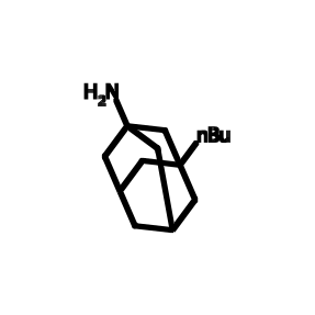 CCCCC12CC3CC(CC(N)(C3)C1)C2